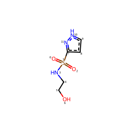 O=S(=O)(NCCO)c1cc[nH]n1